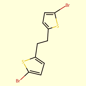 Brc1ccc(CCc2ccc(Br)s2)s1